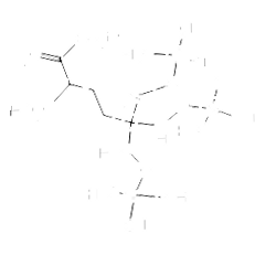 C=C(C(=O)OCC)C(CCC([SiH2]O[Si](C)(C)C)([SiH2]O[Si](C)(C)C)[SiH2]O[Si](C)(C)C)C(=O)O